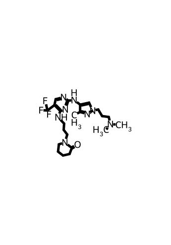 Cc1nn(CCCN(C)C)cc1Nc1ncc(C(F)(F)F)c(NCCCN2CCCCC2=O)n1